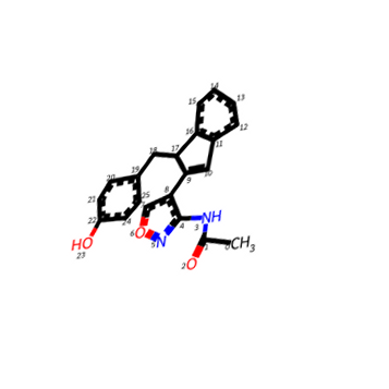 CC(=O)Nc1nocc1C1=Cc2ccccc2C1Cc1ccc(O)cc1